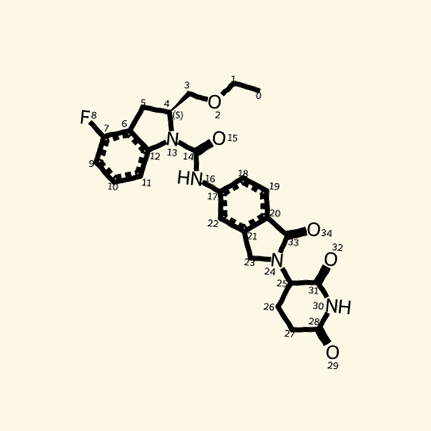 CCOC[C@@H]1Cc2c(F)cccc2N1C(=O)Nc1ccc2c(c1)CN(C1CCC(=O)NC1=O)C2=O